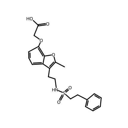 Cc1oc2c(OCC(=O)O)cccc2c1CCNS(=O)(=O)CCc1ccccc1